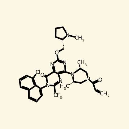 C=CC(=O)N1C[C@H](C)N(c2nc(OC[C@@H]3CCCN3C)nc3c(=O)n(-c4cccc5cccc(Cl)c45)c(C(F)(F)F)nc23)[C@@H](C)C1